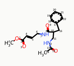 COC(=O)/C=C/CNC(=O)C(CNC(C)=O)Cc1ccccc1